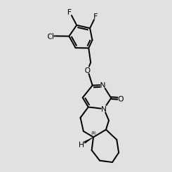 O=c1nc(OCc2cc(F)c(F)c(Cl)c2)cc2n1CC1CCCCC[C@@H]1CC2